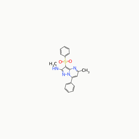 CNc1nn2c(-c3ccccc3)cc(C)nc2c1S(=O)(=O)c1ccccc1